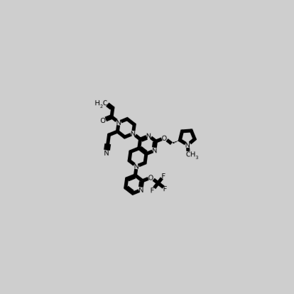 C=CC(=O)N1CCN(c2nc(OC[C@@H]3CCCN3C)nc3c2CCN(c2cccnc2OC(F)(F)F)C3)CC1CC#N